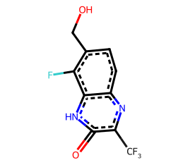 O=c1[nH]c2c(F)c(CO)ccc2nc1C(F)(F)F